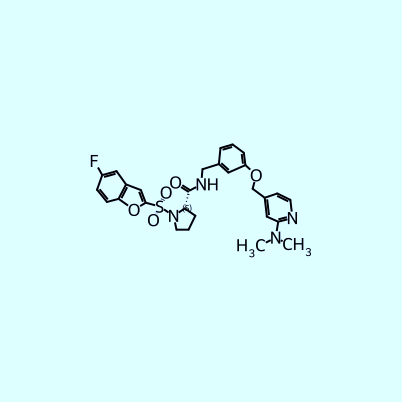 CN(C)c1cc(COc2cccc(CNC(=O)[C@@H]3CCCN3S(=O)(=O)c3cc4cc(F)ccc4o3)c2)ccn1